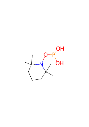 CC1(C)CCCC(C)(C)N1OP(O)O